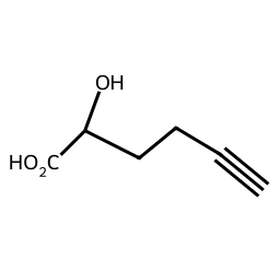 C#CCCC(O)C(=O)O